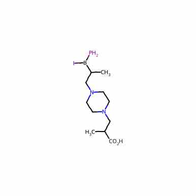 CC(CN1CCN(CC(C)C(=O)O)CC1)B(P)I